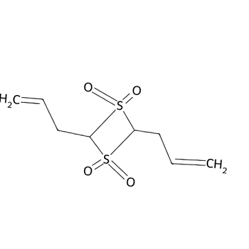 C=CCC1S(=O)(=O)C(CC=C)S1(=O)=O